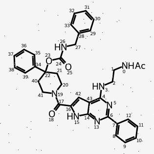 CC(=O)NCCNc1nc(-c2ccccc2)nc2[nH]c(C(=O)N3CCC(OC(=O)NCc4ccccc4)(c4ccccc4)CC3)cc12